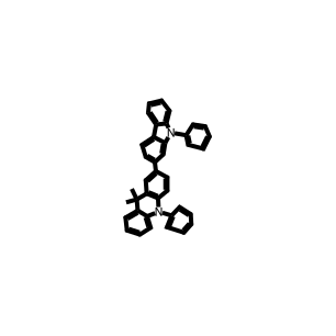 CC1(C)c2ccccc2N(c2ccccc2)c2ccc(-c3ccc4c5ccccc5n(-c5ccccc5)c4c3)cc21